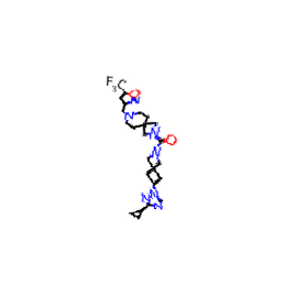 O=C(N1CC2(CCN(Cc3cc(C(F)(F)F)on3)CC2)C1)N1CC2(CC(n3cnc(C4CC4)n3)C2)C1